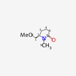 COC[C@H]1CCCC(=O)N1C